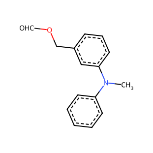 CN(c1ccccc1)c1cccc(COC=O)c1